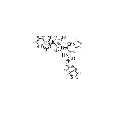 O=C(NC(Cc1cccs1)C(=O)N1CCC2C1C(=O)CN2S(=O)(=O)c1cccc[n+]1[O-])Oc1cc2sccc2s1